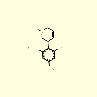 [CH2]N1CC=CC(c2c(OC)cc(OC)cc2OC)C1